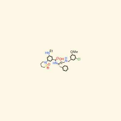 CCNc1cc(C(=O)N[C@@H](Cc2ccccc2)[C@H](O)CNCc2cc(Cl)cc(OC)c2)cc(N2CCCCS2(=O)=O)c1